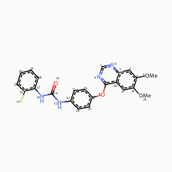 COc1cc2ncnc(Oc3ccc(NC(=O)Nc4ccccc4F)cc3)c2cc1OC